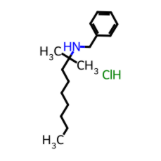 CCCCCCCC(C)(C)NCc1ccccc1.Cl